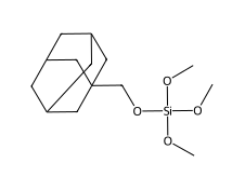 CO[Si](OC)(OC)OCC12CC3CC(CC(C3)C1)C2